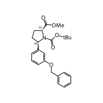 COC(=O)[C@@H]1CC[C@H](c2cccc(OCc3ccccc3)c2)N1C(=O)OC(C)(C)C